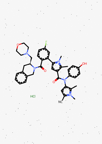 Cc1c(N(C(=O)c2cc(-c3cc(F)ccc3C(=O)N3Cc4ccccc4C[C@H]3CN3CCOCC3)n(C)c2C)c2ccc(O)cc2)cc(C#N)n1C.Cl